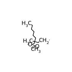 [CH2]CC(C)(CCCCCC)S(C)(=O)=O